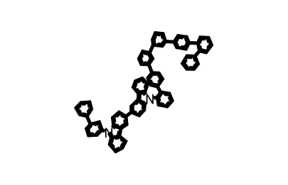 c1ccc(-c2cccc(-n3c4ccccc4c4cc(-c5ccc6c(c5)c5ccccc5n6-c5ccccc5-c5ccc(-c6cccc(-c7cccc(-c8ccc(-c9ccccc9-c9ccccc9)cc8)c7)c6)cc5)ccc43)c2)cc1